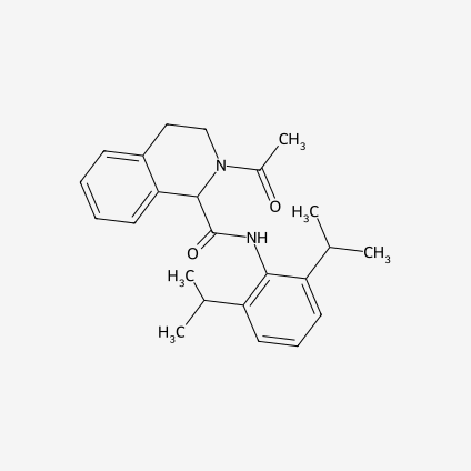 CC(=O)N1CCc2ccccc2C1C(=O)Nc1c(C(C)C)cccc1C(C)C